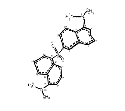 CN(C)c1cccc2[c]c(S(=O)(=O)c3cccc4c(N(C)C)cccc34)ccc12